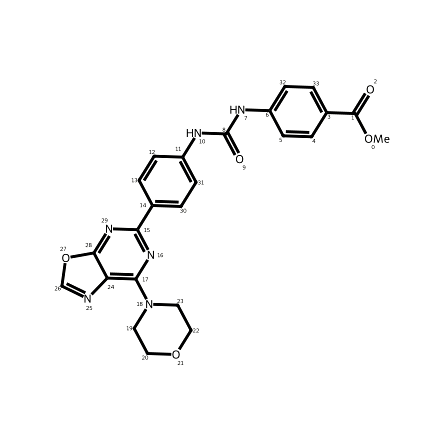 COC(=O)c1ccc(NC(=O)Nc2ccc(-c3nc(N4CCOCC4)c4ncoc4n3)cc2)cc1